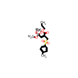 CCCOC(=O)C(=C[Si](OC)(OC)OC)CS(=O)(=O)c1ccc(C)cc1